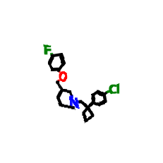 Fc1ccc(OC[C@@H]2CCCN(CC3(c4ccc(Cl)cc4)CCC3)C2)cc1